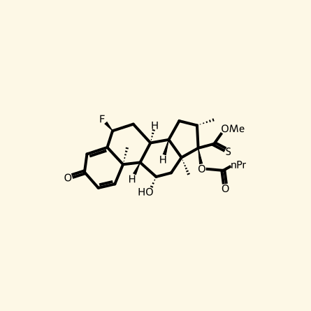 CCCC(=O)O[C@]1(C(=S)OC)[C@@H](C)C[C@H]2[C@@H]3C[C@H](F)C4=CC(=O)C=C[C@]4(C)[C@H]3[C@@H](O)C[C@@]21C